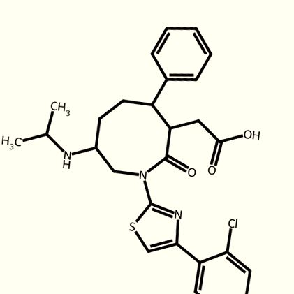 CC(C)NC1CCC(c2ccccc2)C(CC(=O)O)C(=O)N(c2nc(-c3ccccc3Cl)cs2)C1